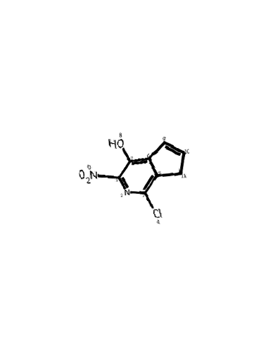 O=[N+]([O-])c1nc(Cl)c2c(c1O)C=CC2